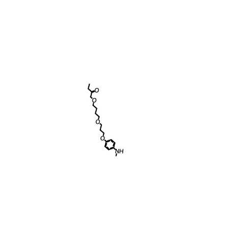 CCC(=O)COCCCCOCCCOc1ccc(NC)cc1